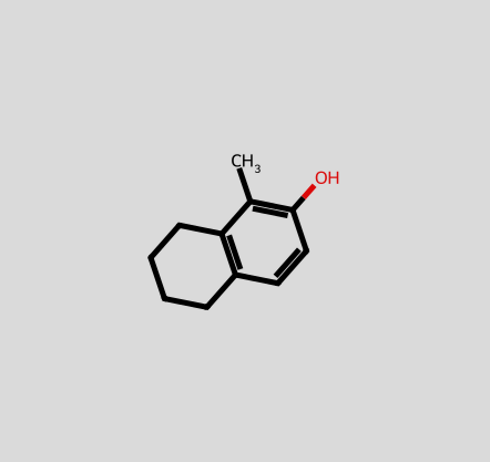 Cc1c(O)ccc2c1CCCC2